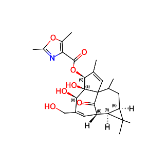 CC1=CC23C(=O)[C@@H](C=C(CO)[C@@H](O)[C@]2(O)[C@H]1OC(=O)c1nc(C)oc1C)[C@H]1[C@@H](CC3C)C1(C)C